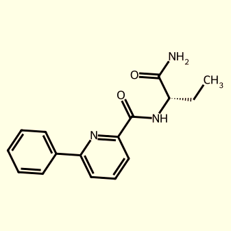 CC[C@H](NC(=O)c1cccc(-c2ccccc2)n1)C(N)=O